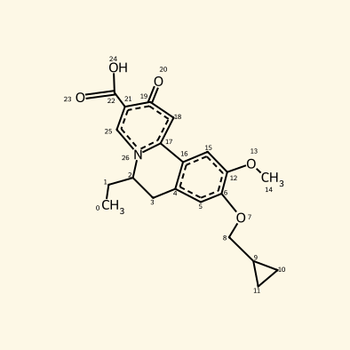 CCC1Cc2cc(OCC3CC3)c(OC)cc2-c2cc(=O)c(C(=O)O)cn21